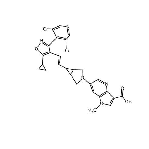 Cn1cc(C(=O)O)c2ncc(N3CC4C(/C=C/c5c(-c6c(Cl)cncc6Cl)noc5C5CC5)C4C3)cc21